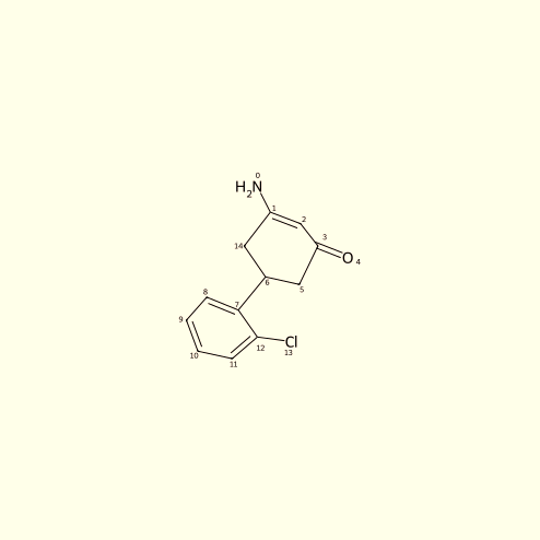 NC1=CC(=O)CC(c2ccccc2Cl)C1